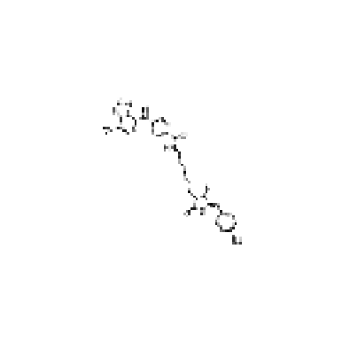 CCc1ccc(/C=C2\SC(=O)N(CCCCCCNC(=O)c3ccc(Nc4ccc(N=O)c5nonc45)cc3)C2=O)cc1